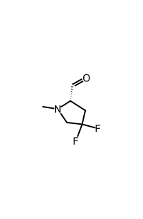 CN1CC(F)(F)C[C@H]1C=O